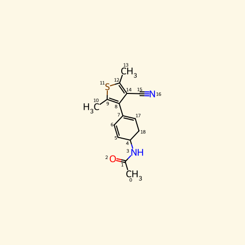 CC(=O)NC1C=CC(c2c(C)sc(C)c2C#N)=CC1